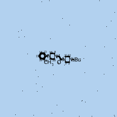 CCC(C)N1CCN(C(=O)CN2CCN(c3ccccc3C)CC2)CC1